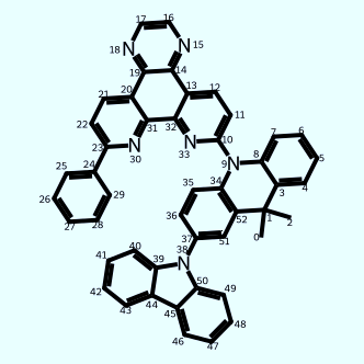 CC1(C)c2ccccc2N(c2ccc3c4nccnc4c4ccc(-c5ccccc5)nc4c3n2)c2ccc(-n3c4ccccc4c4ccccc43)cc21